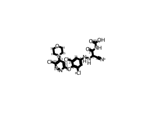 N#CC(NNc1cc(Cl)c(Oc2cc(N3CCOCC3)c(Cl)nn2)c(Cl)c1)C(=O)NC(=O)O